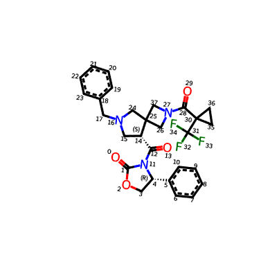 O=C1OC[C@@H](c2ccccc2)N1C(=O)[C@@H]1CN(Cc2ccccc2)CC12CN(C(=O)C1(C(F)(F)F)CC1)C2